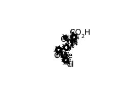 COc1cccc(C2CCN(Cc3nc4ccc(C(=O)O)cc4n3CC3CCO3)CC2)c1OCc1ccc(Cl)cc1F